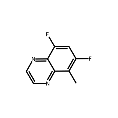 Cc1c(F)cc(F)c2nccnc12